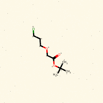 CC(C)(C)OC(=O)COCCCCl